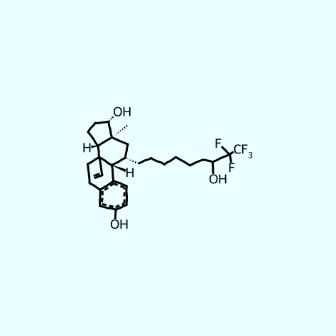 C=CC12CCc3cc(O)ccc3[C@H]1[C@@H](CCCCCCC(O)C(F)(F)C(F)(F)F)C[C@]1(C)[C@@H](O)CC[C@@H]21